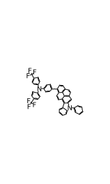 FC(F)(F)c1ccc(N(c2ccc(-c3ccc4ccc5cc6c(c7ccc3c4c57)c3ccccc3n6-c3ccccc3)cc2)c2ccc(C(F)(F)F)cc2)cc1